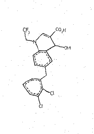 O=C(O)C1=CN(CC(F)(F)F)c2ccc(Cc3cccc(Cl)c3Cl)cc2C1O